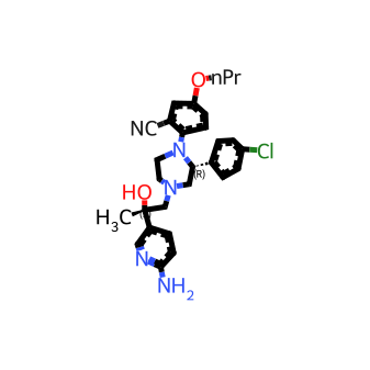 CCCOc1ccc(N2CCN(C[C@@](C)(O)c3ccc(N)nc3)C[C@H]2c2ccc(Cl)cc2)c(C#N)c1